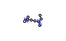 C1=CC2=Nc3c(nc(-c4ccc(-c5ccc(-c6cc(-c7ccccn7)nc(-c7cccc(-c8ccccc8)c7)n6)cc5)cc4)c4ccccc34)[C@H]2C=C1